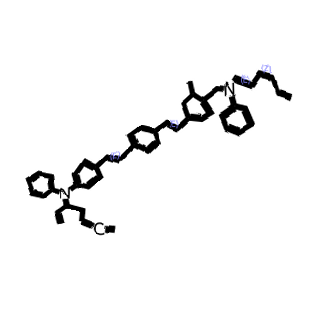 C=C=CCC(C=C)N(c1ccccc1)c1ccc(/C=C/c2ccc(/C=C/C3=CC=C(CN(/C=C/C=C\C=C)c4ccccc4)C(C)C3)cc2)cc1